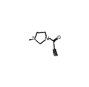 C#CC(=O)N1CC[C@H](C)C1